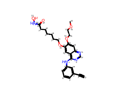 C#Cc1cccc(Nc2ncnc3cc(OCCOC)c(OCCCCCCC(=O)NO)cc23)c1